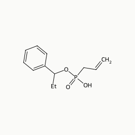 C=CCP(=O)(O)OC(CC)c1ccccc1